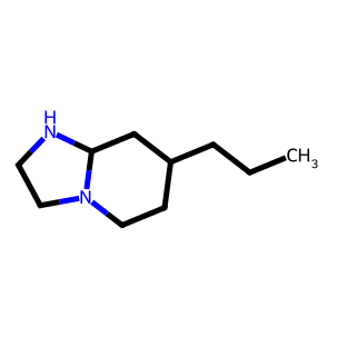 CCCC1CCN2CCNC2C1